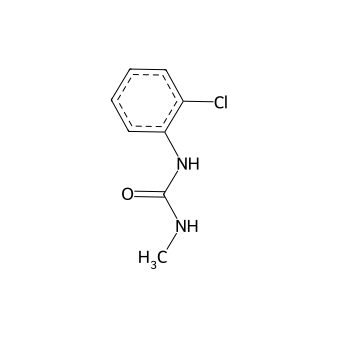 CNC(=O)Nc1ccccc1Cl